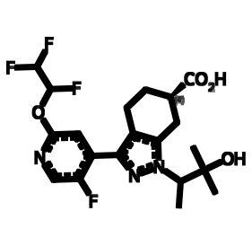 CC(n1nc(-c2cc(OC(F)C(F)F)ncc2F)c2c1C[C@H](C(=O)O)CC2)C(C)(C)O